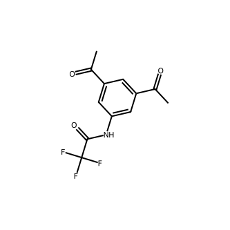 CC(=O)c1cc(NC(=O)C(F)(F)F)cc(C(C)=O)c1